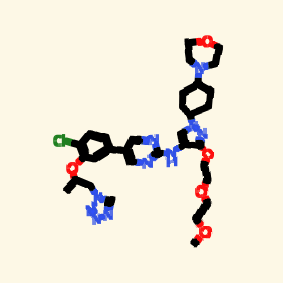 COCCOCCOc1nn(C2CCC(N3CCOCC3)CC2)cc1Nc1ncc(-c2ccc(Cl)c(OC(C)Cn3cnnn3)c2)cn1